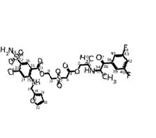 C[C@@H](COC(=O)CS(=O)(=O)CCOC(=O)c1cc(S(N)(=O)=O)c(Cl)cc1NCc1ccco1)N[C@H](C)C(=O)c1cc(F)cc(F)c1